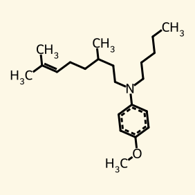 CCCCCN(CCC(C)CCC=C(C)C)c1ccc(OC)cc1